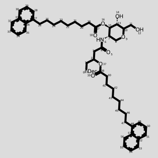 CCCCCCCCCCCC(CC(=O)N[C@H]1COC(CO)[C@@H](O)[C@@H]1OC(=O)CCCCCCCCc1cccc2ccccc12)OC(=O)CCCCCCCCc1cccc2ccccc12